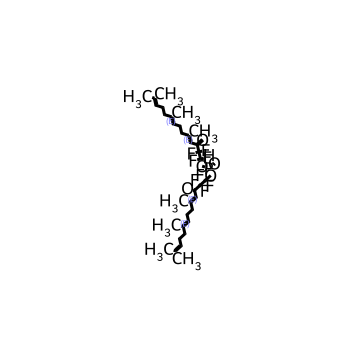 CC(C)=CCC/C(C)=C/CC/C(C)=C/C(=O)C(F)(F)C(F)(F)O[PH](=O)OC(F)(F)C(F)(F)C(=O)/C=C(\C)CC/C=C(\C)CCC=C(C)C